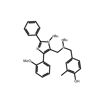 CCCCN(Cc1ccc(O)c(C)c1)Cc1c(-c2ccccc2OC)nc(-c2ccccc2)n1CCCC